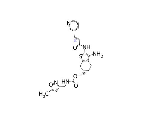 Cc1cc(CNC(=O)OC[C@H]2CCc3c(sc(NC(=O)/C=C/c4cccnc4)c3N)C2)no1